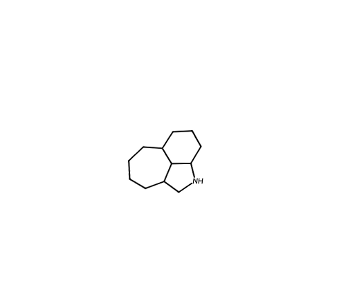 C1CCC2CNC3CCCC(C1)C23